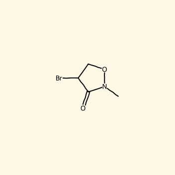 CN1OCC(Br)C1=O